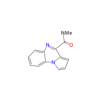 CNC(=O)c1nc2ccccc2n2cccc12